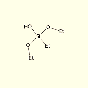 CCO[Si](O)(CC)OCC